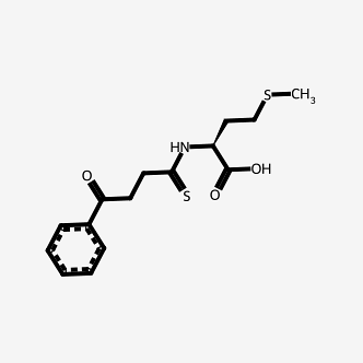 CSCC[C@H](NC(=S)CCC(=O)c1ccccc1)C(=O)O